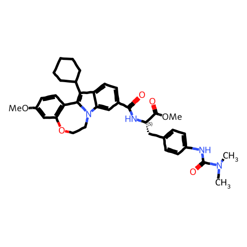 COC(=O)[C@H](Cc1ccc(NC(=O)N(C)C)cc1)NC(=O)c1ccc2c(C3CCCCC3)c3n(c2c1)CCOc1cc(OC)ccc1-3